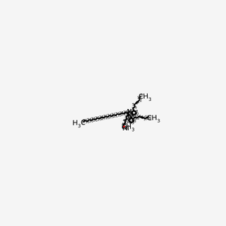 CCCC#CCCCc1ccccc1N=C(C=CCCCCCCCCCCCCCCCCCCCC)C(CCCCCC)=Nc1ccccc1CCCC#CCCC.[Ni]